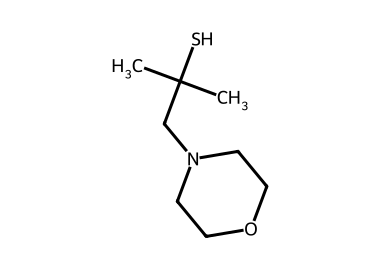 CC(C)(S)CN1CCOCC1